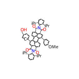 COc1ccc(-c2cc3c4c(ccc5c6c(-c7ccc(CO)cc7)cc7c8c(ccc(c2c45)c86)C(=O)N(c2c(C(C)C)cccc2C(C)C)C7=O)C(=O)N(c2c(C(C)C)cccc2C(C)C)C3=O)cc1